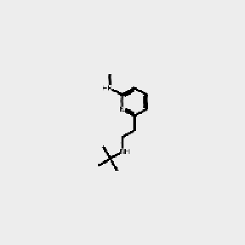 CNc1cccc(CCNC(C)(C)C)n1